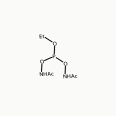 [CH2]COP(ONC(C)=O)ONC(C)=O